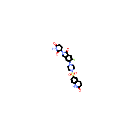 O=C1CCC(N2Cc3cc(N4CCN(S(=O)(=O)c5ccc6c(c5)CCC(=O)N6)CC4)c(F)cc3C2=O)C(=O)N1